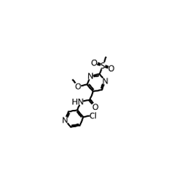 COc1nc(S(C)(=O)=O)ncc1C(=O)Nc1cnccc1Cl